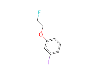 FCCOc1cccc(I)c1